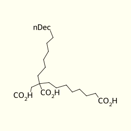 CCCCCCCCCCCCCCCCC(CCCCCCCC(=O)O)(CC(=O)O)C(=O)O